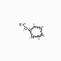 CCOc1cnc[c]n1